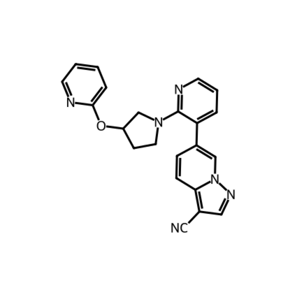 N#Cc1cnn2cc(-c3cccnc3N3CCC(Oc4ccccn4)C3)ccc12